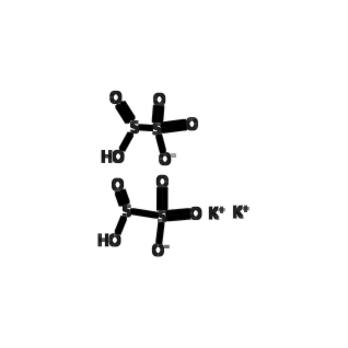 O=S(O)S(=O)(=O)[O-].O=S(O)S(=O)(=O)[O-].[K+].[K+]